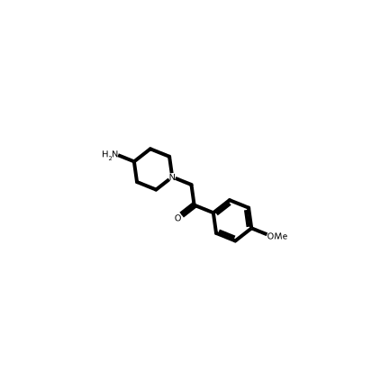 COc1ccc(C(=O)CN2CCC(N)CC2)cc1